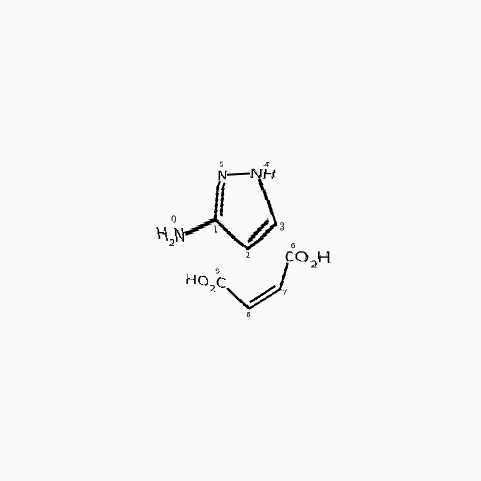 Nc1cc[nH]n1.O=C(O)/C=C\C(=O)O